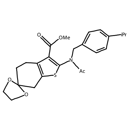 COC(=O)c1c(N(Cc2ccc(C(C)C)cc2)C(C)=O)sc2c1CCC1(C2)OCCO1